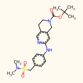 CN(C)S(=O)(=O)Cc1ccc(Nc2cc3c(cn2)CCN(C(=O)OC(C)(C)C)C3)cc1